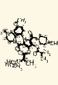 COc1ccc(-n2c(C(=O)N3CCN(C)CC3)c(OC(=O)C(C)C)c(OC(=O)C(C)C)c2C(=O)N2CCN(C)CC2)cc1.Cl.Cl